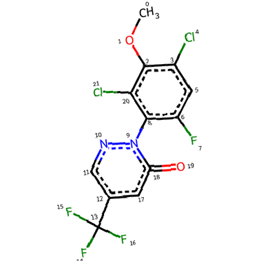 COc1c(Cl)cc(F)c(-n2ncc(C(F)(F)F)cc2=O)c1Cl